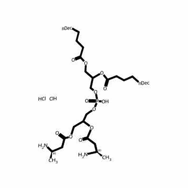 CCCCCCCCCCCCCC(=O)OCC(COP(=O)(O)OCC(COC(=O)C[C@@H](C)N)OC(=O)C[C@@H](C)N)OC(=O)CCCCCCCCCCCCC.Cl.Cl